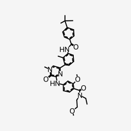 CCN(CCOC)C(=O)c1ccc(Nc2nc(-c3cccc(NC(=O)c4ccc(C(C)(C)C)cc4)c3C)cn(C)c2=O)cc1OC